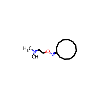 CN(C)CCON=C1CCCCCCCCCCC1